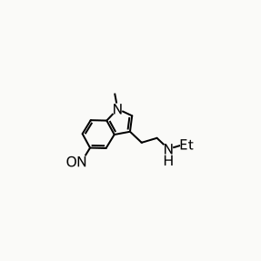 CCNCCc1cn(C)c2ccc(N=O)cc12